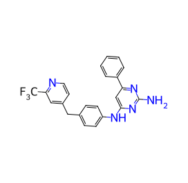 Nc1nc(Nc2ccc(Cc3ccnc(C(F)(F)F)c3)cc2)cc(-c2ccccc2)n1